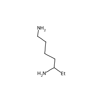 CCC(N)CCCCN